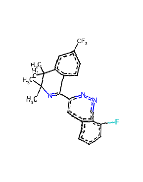 CC1(C)N=C(c2cc3cccc(F)c3nn2)c2ccc(C(F)(F)F)cc2C1(C)C